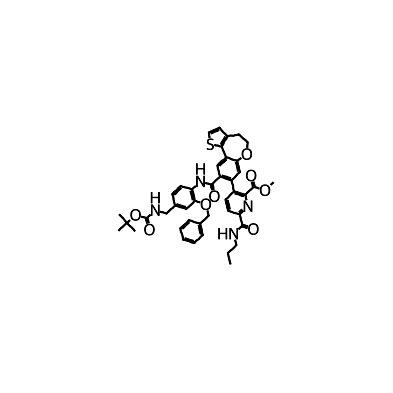 CCCNC(=O)c1ccc(-c2cc3c(cc2C(=O)Nc2ccc(CNC(=O)OC(C)(C)C)cc2OCc2ccccc2)-c2sccc2CCO3)c(C(=O)OC)n1